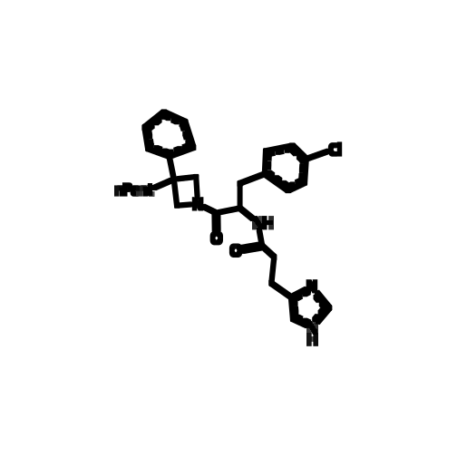 CCCCCC1(c2ccccc2)CN(C(=O)C(Cc2ccc(Cl)cc2)NC(=O)CCc2c[nH]cn2)C1